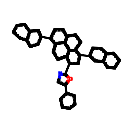 c1ccc(-c2cnc(-c3cc(-c4ccc5ccccc5c4)c4ccc5ccc(-c6ccc7ccccc7c6)c6ccc3c4c56)o2)cc1